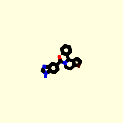 O=C(c1ccc2[nH]cnc2c1)N1CCc2sccc2C1c1ccccc1